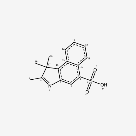 CC1=Nc2cc(S(=O)(=O)O)c3ccccc3c2C1(C)C